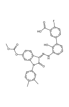 COC(=O)Oc1ccc2c(c1)N(c1ccc(C)c(C)c1)C(=O)C2=NNc1cccc(-c2ccc(F)c(C(=O)O)c2)c1O